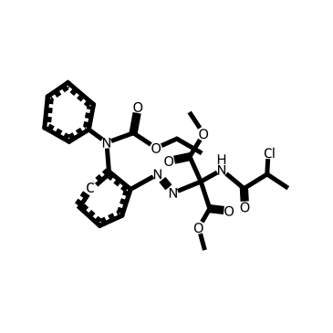 CCOC(=O)N(c1ccccc1)c1ccccc1N=NC(NC(=O)C(C)Cl)(C(=O)OC)C(=O)OC